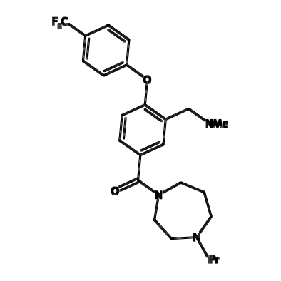 CNCc1cc(C(=O)N2CCCN(C(C)C)CC2)ccc1Oc1ccc(C(F)(F)F)cc1